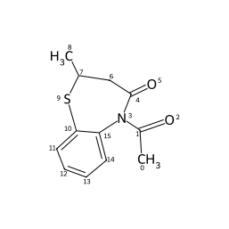 CC(=O)N1C(=O)CC(C)Sc2ccccc21